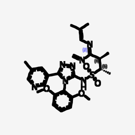 C=N/C(=N\C=C(C)C)[C@@H](C)[C@H](C)S(=O)(=O)Nc1nnc(-c2cncc(C)c2)n1-c1c(OC)cccc1OC